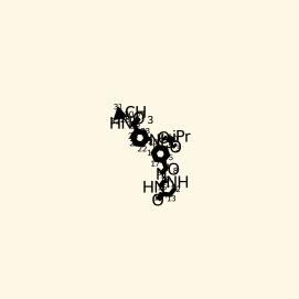 CC(C)S(=O)(=O)c1cc(C(=O)/N=C2\NCCC(=O)N2)ccc1Nc1cccc(C(=O)NC2(C)CC2)c1